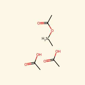 CC(=O)O.CC(=O)O.C[SiH2]OC(C)=O